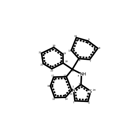 [c]1cnc(NC(c2ccccc2)(c2ccccc2)c2ccccc2)s1